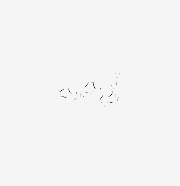 O=C(c1c(F)ccc(NS(=O)(=O)c2ccccc2)c1F)c1c[nH]c2ncnc(NCC3CC3)c12